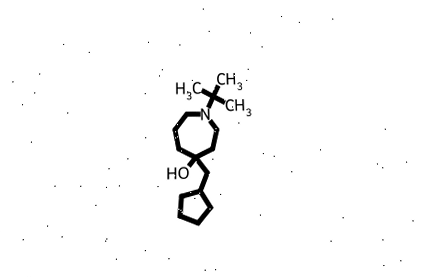 CC(C)(C)N1CCCC(O)(CC2CCCC2)CC1